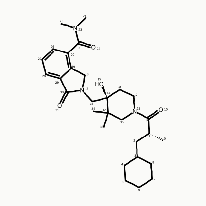 C[C@H](CC1CCCCC1)C(=O)N1CC[C@@](O)(CN2Cc3c(C(=O)N(C)C)cccc3C2=O)C(C)(C)C1